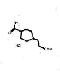 COCCN1CCC(C(N)=O)CC1.Cl